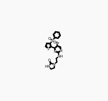 O=C1NCCN1CCNc1ncc(Br)c(-c2sccc2S(=O)(=O)c2ccccc2)n1